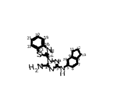 Nc1nc(Nc2ccc3c(c2)CCC3)nn1-c1nc2ccccc2s1